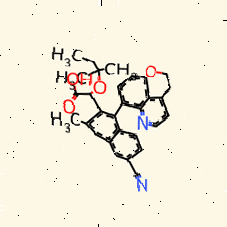 CCC(C)(C)O[C@H](C(=O)O)c1c(C)cc2cc(C#N)ccc2c1-c1ccc2c3c(ccnc13)CCO2